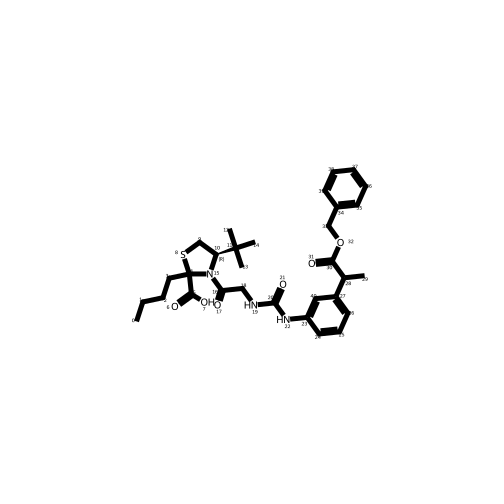 CCCCC1(C(=O)O)SC[C@@H](C(C)(C)C)N1C(=O)CNC(=O)Nc1cccc(C(C)C(=O)OCc2ccccc2)c1